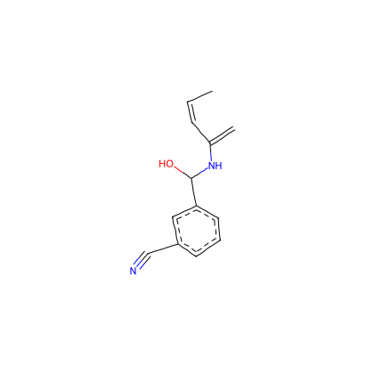 C=C(/C=C\C)NC(O)c1cccc(C#N)c1